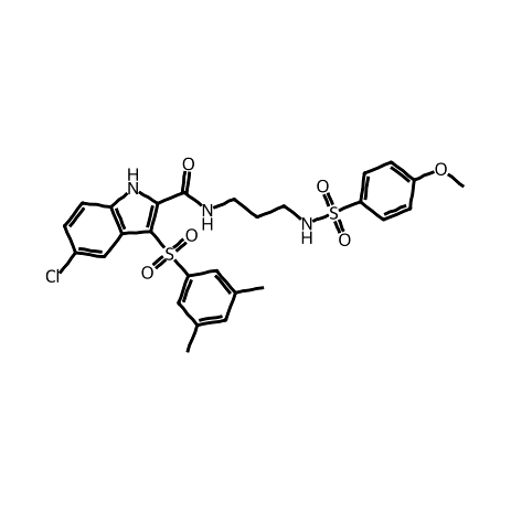 COc1ccc(S(=O)(=O)NCCCNC(=O)c2[nH]c3ccc(Cl)cc3c2S(=O)(=O)c2cc(C)cc(C)c2)cc1